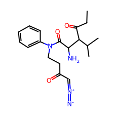 CCC(=O)C(C(C)C)C(N)C(=O)N(CCC(=O)C=[N+]=[N-])c1ccccc1